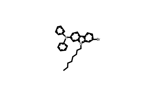 CCCCCCCCn1c2cc(Br)ccc2c2ccc(N(c3ccccc3)c3ccccc3)cc21